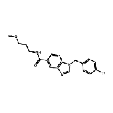 COCCCNC(=O)c1ccc2c(c1)ncn2Cc1ccc(Cl)cc1